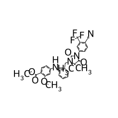 COC(=O)c1ccc(Nc2ccccc2CN2C(=O)N(c3ccc(C#N)c(C(F)(F)F)c3)C(=O)C2(C)C)cc1OC